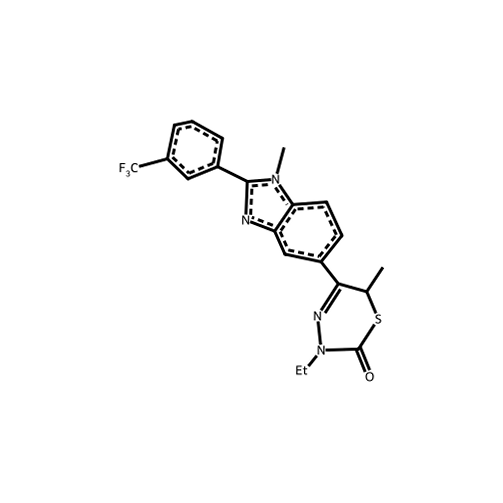 CCN1N=C(c2ccc3c(c2)nc(-c2cccc(C(F)(F)F)c2)n3C)C(C)SC1=O